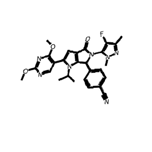 COc1ncc(-c2cc3c(n2C(C)C)C(c2ccc(C#N)cc2)N(c2c(F)c(C)nn2C)C3=O)c(OC)n1